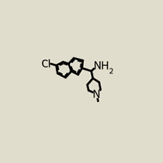 CN1CCC(C(N)c2ccc3cc(Cl)ccc3c2)CC1